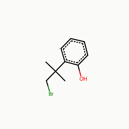 CC(C)(CBr)c1[c]cccc1O